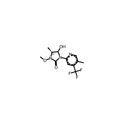 CON1C(=O)N(c2cc(C(F)(F)F)c(C)cn2)C(O)[C@@H]1C